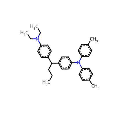 CCCC(c1ccc(N(CC)CC)cc1)c1ccc(N(c2ccc(C)cc2)c2ccc(C)cc2)cc1